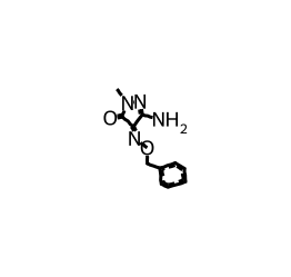 CN1N=C(N)/C(=N\OCc2ccccc2)C1=O